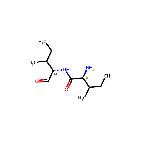 CCC(C)[C@H](N)C(=O)N[C@H]([C]=O)C(C)CC